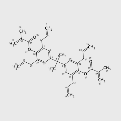 C=CCc1cc(C(C)(C)c2cc(CC=C)c(OC(=O)C(=C)C)c(CC=C)c2)cc(CC=C)c1OC(=O)C(=C)C